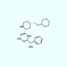 O=C(N[C@H](CO)[C@@H](O)c1ccccc1)[C@H]1C[C@@H](CCC2CCCCC2)CCN1